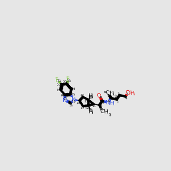 C=C(CCCO)NC(=O)C(C)[C@H]1[C@@H]2C[C@@H](n3cnc4cc(F)c(F)cc43)C[C@@H]21